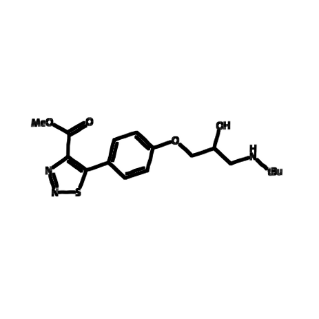 COC(=O)c1nnsc1-c1ccc(OCC(O)CNC(C)(C)C)cc1